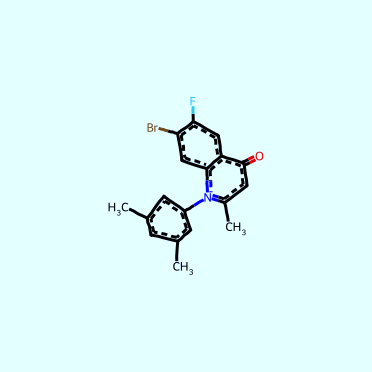 Cc1cc(C)cc(-n2c(C)cc(=O)c3cc(F)c(Br)cc32)c1